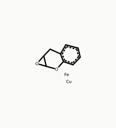 [Cu].[Fe].c1ccc2c(c1)CC1OC1O2